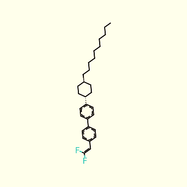 CCCCCCCCCC[C@H]1CC[C@H](c2ccc(-c3ccc(C=C(F)F)cc3)cc2)CC1